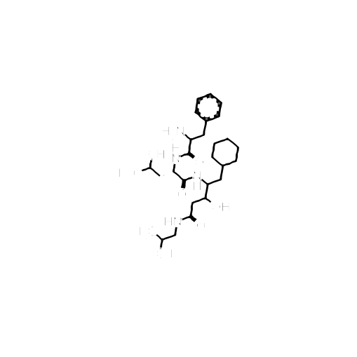 CC(C)CNC(=O)CC(O)C(CC1CCCCC1)NC(=O)[C@H](CC(C)C)NC(=O)C(N)Cc1ccccc1